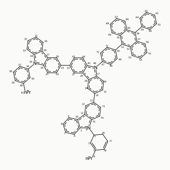 CCCC1=CC(n2c3ccccc3c3cc(-c4ccc5c(c4)c4cc(-c6ccc7c(c6)c6ccccc6n7-c6cccc(CCC)c6)ccc4n5-c4ccc(-c5c6ccccc6c(-c6ccccc6)c6ccccc56)cc4)ccc32)CC=C1